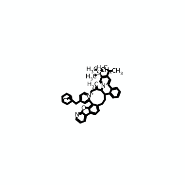 C=C1C[n+]2ccc(CC3CC4CCC3CC4)cc2-c2c(ccc3c2oc2ncccc23)CCC2c3ccccc3-c3cc(C(C)C)c([Si](C)(C)C)c[n+]3C12